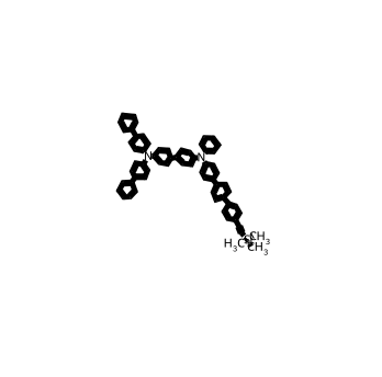 C[Si](C)(C)C#Cc1ccc(-c2ccc(-c3ccc(N(c4ccccc4)c4ccc(-c5ccc(N(c6ccc(-c7ccccc7)cc6)c6ccc(-c7ccccc7)cc6)cc5)cc4)cc3)cc2)cc1